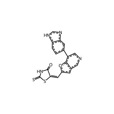 O=C1NC(=S)SC1=Cc1cc2cncc(-c3ccc4[nH]cnc4c3)c2o1